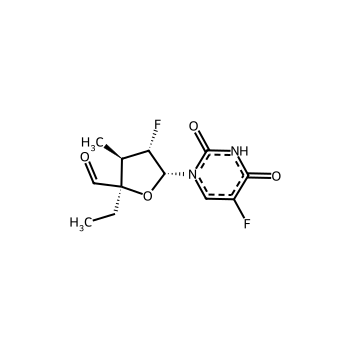 CC[C@@]1(C=O)O[C@@H](n2cc(F)c(=O)[nH]c2=O)[C@@H](F)[C@@H]1C